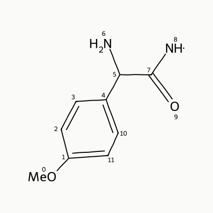 COc1ccc(C(N)C([NH])=O)cc1